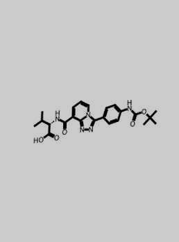 CC(C)[C@H](NC(=O)c1cccn2c(-c3ccc(NC(=O)OC(C)(C)C)cc3)nnc12)C(=O)O